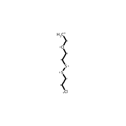 CCOCCSSCCCl